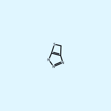 C1SC2=C1N=N[N]2